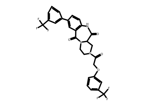 O=C1Nc2ccc(-c3cccc(C(F)(F)F)c3)cc2C(=O)N2CCN(C(=O)COc3cccc(C(F)(F)F)c3)CC12